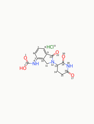 Cl.O=C(O)Nc1cccc2c1CN(C1CCC(=O)NC1=O)C2=O